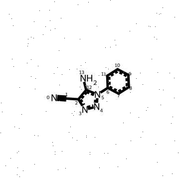 N#Cc1nnn(-c2ccccc2)c1N